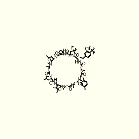 CC[C@H](C)[C@@H]1NC(=O)[C@H](CC(C)C)N(C)C(=O)C[C@@H](C)N(C)C(=O)[C@H]([C@@H](C)CC)N(C)C(=O)C2(CCC2)NC(=O)[C@@H]2CC(F)(F)CN2C(=O)[C@H](CCc2ccc(C(F)(F)F)c(Cl)c2)NC(=O)CN(C)C(=O)[C@H](Cc2ccc(C)cc2)N(C)C(=O)CN(C)C(=O)CN(C)C1=O